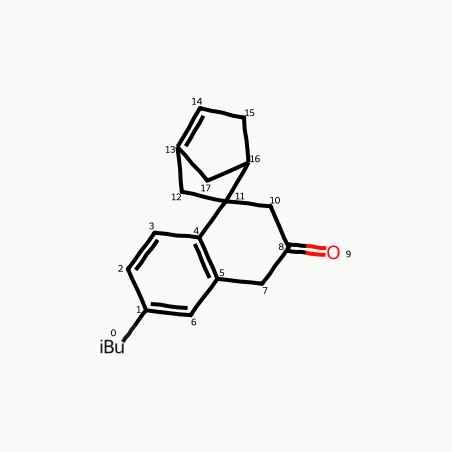 CCC(C)c1ccc2c(c1)CC(=O)CC21CC2=CCC1C2